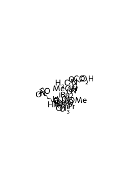 CCC(C)C(C(CC(=O)N1CCC[C@H]1C(OC)C(C)C(=O)NC(Cc1ccccc1)C(=O)O)OC)N(C)C(=O)C(NC(=O)C(C)(C)NC(=O)CCCCCN1C(=O)C=CC1=O)C(C)C